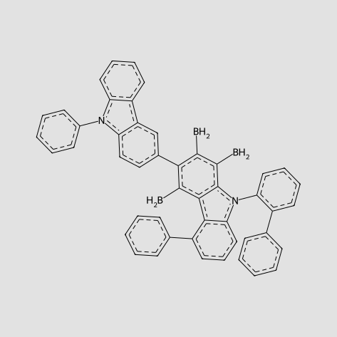 Bc1c(-c2ccc3c(c2)c2ccccc2n3-c2ccccc2)c(B)c2c3c(-c4ccccc4)cccc3n(-c3ccccc3-c3ccccc3)c2c1B